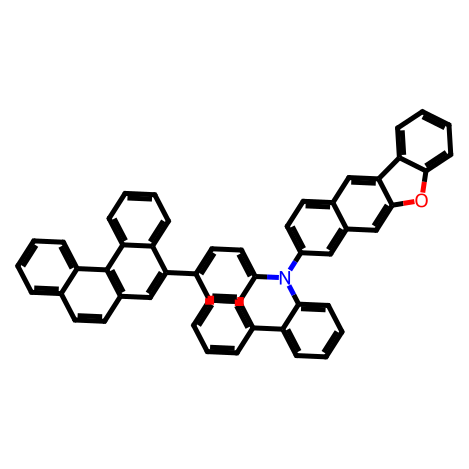 c1ccc(-c2ccccc2N(c2ccc(-c3cc4ccc5ccccc5c4c4ccccc34)cc2)c2ccc3cc4c(cc3c2)oc2ccccc24)cc1